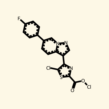 O=C(OCl)c1nc(-c2cnn3cc(-c4ccc(F)cc4)ccc23)c(Cl)s1